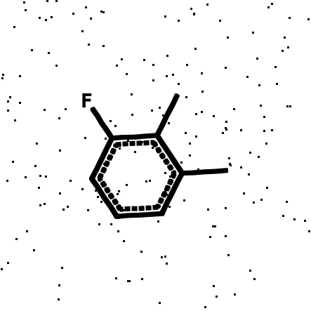 Cc1cccc(F)c1C